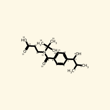 CC(C)C(O)c1ccc(C(=O)N(CCC(=O)O)C(C)(C)C)cc1